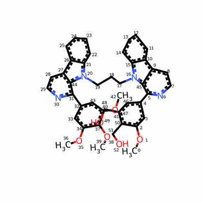 COc1cc(-c2nccc3c4ccccc4n(CCCn4c5ccccc5c5ccnc(-c6cc(OC)c(OC)c(OC)c6)c54)c23)cc(CO)c1CO